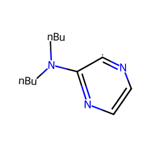 CCCCN(CCCC)c1[c]nccn1